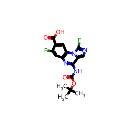 CC(C)(C)OC(=O)Nc1nc2cc(F)c(C(=O)O)cc2n2c(F)ncc12